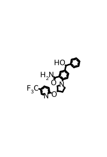 NC(=O)c1cc(C(O)c2ccccc2)ccc1N1CCC(Oc2ccc(C(F)(F)F)cn2)C1